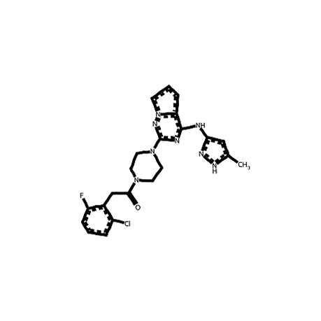 Cc1cc(Nc2nc(N3CCN(C(=O)Cc4c(F)cccc4Cl)CC3)nn3cccc23)n[nH]1